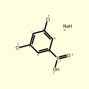 O=S(O)c1cc(Cl)cc(Cl)c1.[NaH]